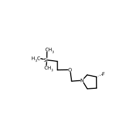 C[Si](C)(C)CCOCN1CC[C@@H](F)C1